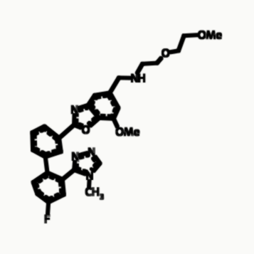 COCCOCCNCc1cc(OC)c2oc(-c3cccc(-c4ccc(F)cc4-c4nncn4C)c3)nc2c1